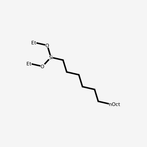 CCCCCCCCCCCCCC[Si](OCC)OCC